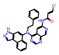 O=C(C=CCl)Nc1cc2c(N(CCc3ccccc3)c3cc4[nH]ncc4c4ccccc34)ncnc2cn1